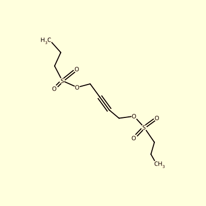 CCCS(=O)(=O)OCC#CCOS(=O)(=O)CCC